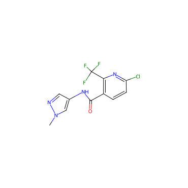 Cn1cc(NC(=O)c2ccc(Cl)nc2C(F)(F)F)cn1